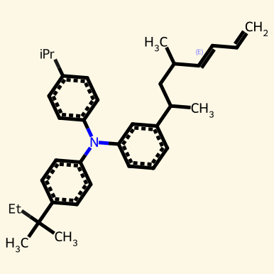 C=C/C=C/C(C)CC(C)c1cccc(N(c2ccc(C(C)C)cc2)c2ccc(C(C)(C)CC)cc2)c1